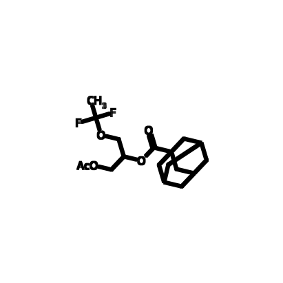 CC(=O)OCC(COC(C)(F)F)OC(=O)C12CC3CC(CC(C3)C1)C2